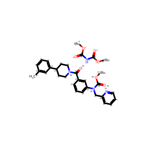 CC(C)(C)OC(=O)NC(=O)OC(C)(C)C.Cc1cccc(C2CCN(C(=O)c3cccc(N(Cc4ccccn4)C(=O)OC(C)(C)C)c3)CC2)c1